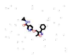 Cc1onc(C2CCCCC2)c1COc1ccc(C(=O)NC2CC2)cn1